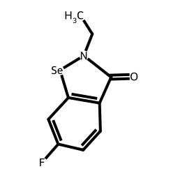 CCn1[se]c2cc(F)ccc2c1=O